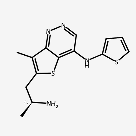 Cc1c(C[C@H](C)N)sc2c(Nc3cccs3)cnnc12